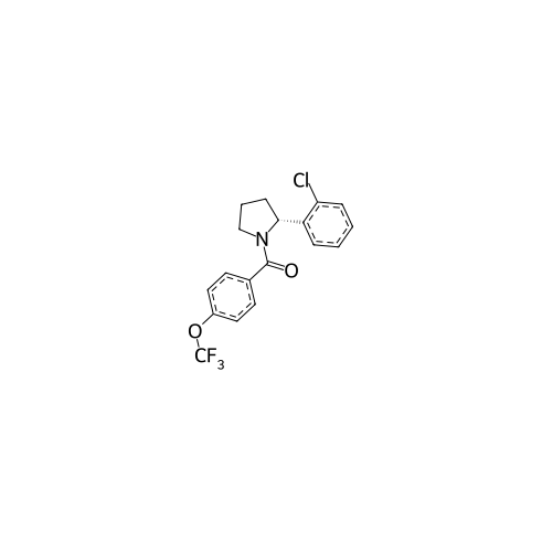 O=C(c1ccc(OC(F)(F)F)cc1)N1CCC[C@@H]1c1ccccc1Cl